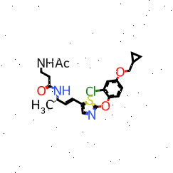 CC(=O)NCCC(=O)N[C@@H](C)/C=C/c1cnc(Oc2ccc(OCC3CC3)cc2Cl)s1